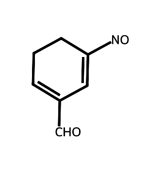 O=CC1=CCCC(N=O)=C1